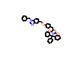 O=C1SC(Cc2ccc(OCc3ccc4c(c3)ncn4Cc3ccccc3)cc2)C(=O)N1C(c1ccccc1)(c1ccccc1)c1ccccc1